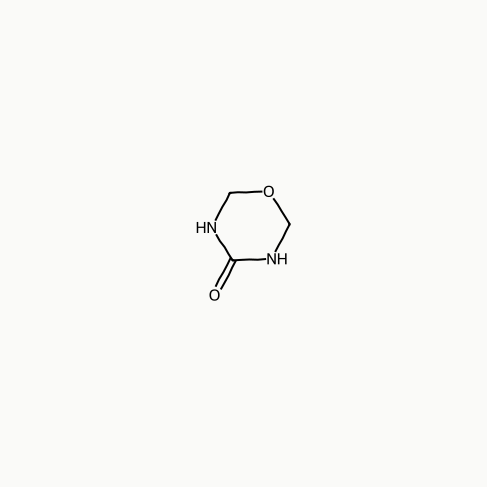 O=C1NCOCN1